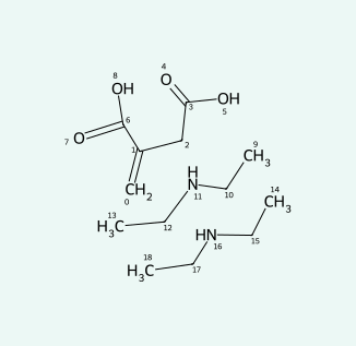 C=C(CC(=O)O)C(=O)O.CCNCC.CCNCC